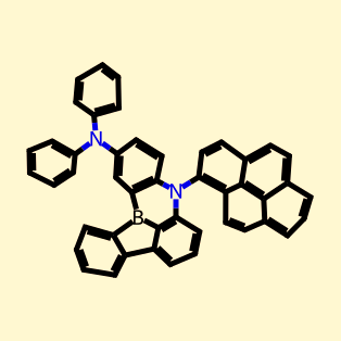 c1ccc(N(c2ccccc2)c2ccc3c(c2)B2c4ccccc4-c4cccc(c42)N3c2ccc3ccc4cccc5ccc2c3c45)cc1